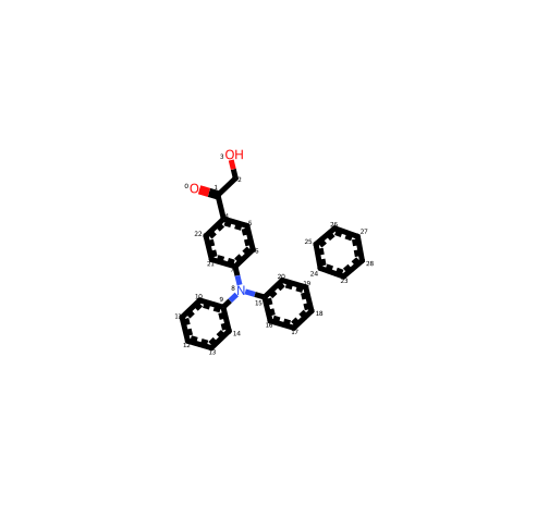 O=C(CO)c1ccc(N(c2ccccc2)c2ccccc2)cc1.c1ccccc1